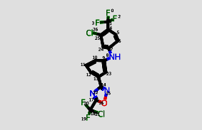 FC(F)(F)c1ccc(Nc2[c]ccc(-c3noc(C(F)(F)Cl)n3)c2)cc1Cl